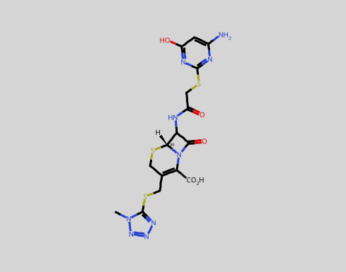 Cn1nnnc1SCC1=C(C(=O)O)N2C(=O)C(NC(=O)CSc3nc(N)cc(O)n3)[C@H]2SC1